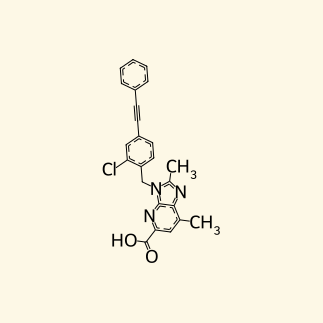 Cc1cc(C(=O)O)nc2c1nc(C)n2Cc1ccc(C#Cc2ccccc2)cc1Cl